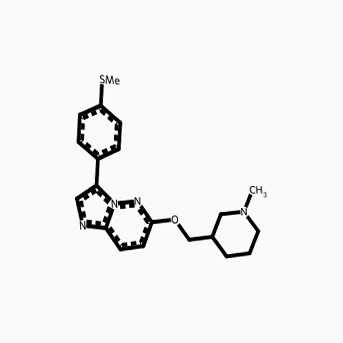 CSc1ccc(-c2cnc3ccc(OCC4CCCN(C)C4)nn23)cc1